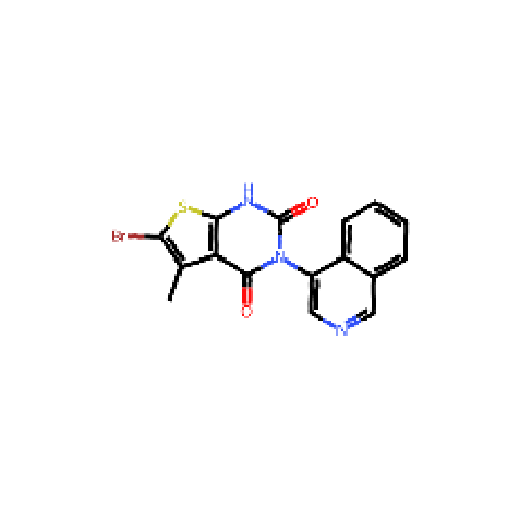 Cc1c(Br)sc2[nH]c(=O)n(-c3cncc4ccccc34)c(=O)c12